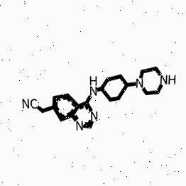 N#CCc1ccc2c(NC3CCC(N4CCNCC4)CC3)ncnc2c1